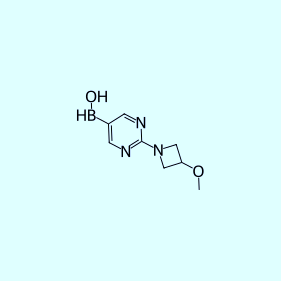 COC1CN(c2ncc(BO)cn2)C1